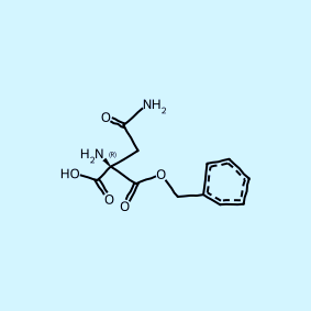 NC(=O)C[C@@](N)(C(=O)O)C(=O)OCc1ccccc1